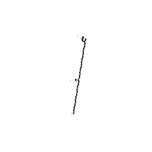 N=N/C(=C\NCCOCCOCCOCCOCCOCCOCc1cnc(S)nc1)COCCOCCOCCOCCOCCOCCN